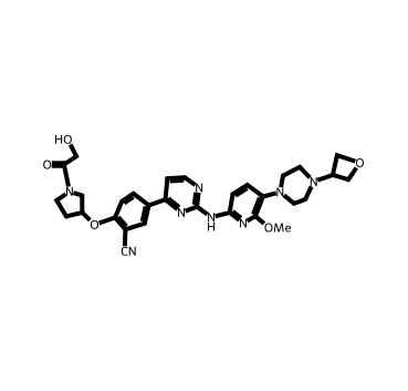 COc1nc(Nc2nccc(-c3ccc(OC4CCN(C(=O)CO)C4)c(C#N)c3)n2)ccc1N1CCN(C2COC2)CC1